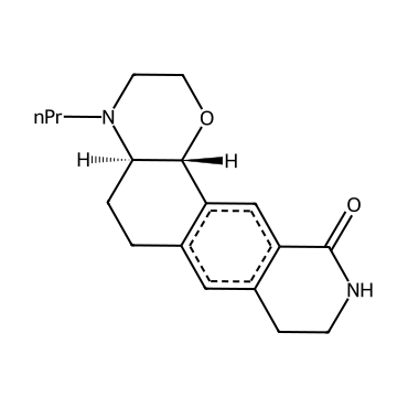 CCCN1CCO[C@@H]2c3cc4c(cc3CC[C@H]21)CCNC4=O